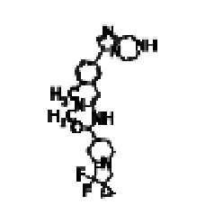 C=N/C(=C\c1cc(-c2cnc3n2CCNC3)ccc1C)NC(=O)C1CCN(CC2(C(F)(F)F)CC2)CC1